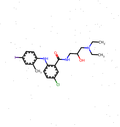 CCN(CC)CC(O)CNC(=O)c1cc(Cl)ccc1Nc1ccc(I)cc1C